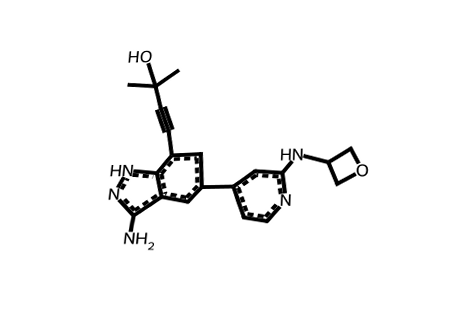 CC(C)(O)C#Cc1cc(-c2ccnc(NC3COC3)c2)cc2c(N)n[nH]c12